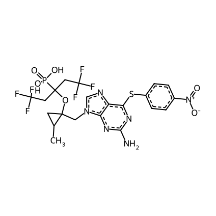 CC1CC1(Cn1cnc2c(Sc3ccc([N+](=O)[O-])cc3)nc(N)nc21)OC(CC(F)(F)F)(CC(F)(F)F)P(=O)(O)O